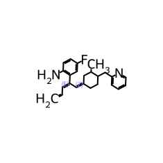 C=C/C=C(\C=C1\CCC(Cc2ccccn2)C(C)C1)c1cc(F)ccc1N